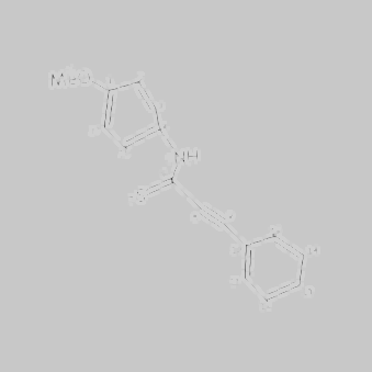 COc1ccc(NC(=S)C#Cc2ccccc2)cc1